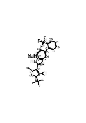 Cn1nc(C(C)(C)C)c(Cl)c1-c1nc2cc(-c3ccccc3C(F)(F)F)ccc2[nH]1.[NaH]